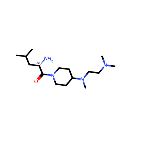 CC(C)C[C@H](N)C(=O)N1CCC(N(C)CCN(C)C)CC1